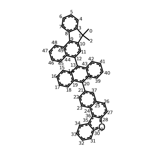 CC1(C)c2ccccc2-c2c1cc(-c1c3ccccc3c(-c3ccc4c(ccc5oc6ccccc6c54)c3)c3ccccc13)c1ccccc21